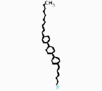 CCCCCCCCCCC1CCC(C2CCC(C3CCC(CCCCCCF)CC3)CC2)CC1